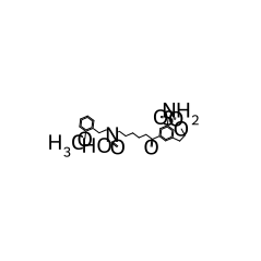 COc1ccccc1CCN(CCCCCC(=O)c1cc2c(c(S(N)(=O)=O)c1)OCC2)C(=O)O